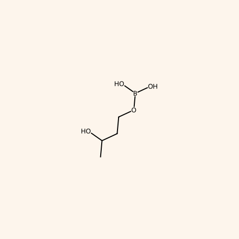 CC(O)CCOB(O)O